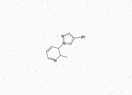 CC(C)c1cnn(C2C=CC=NC2C)c1